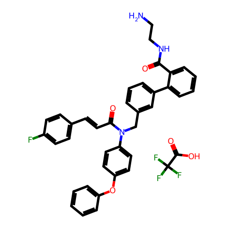 NCCNC(=O)c1ccccc1-c1cccc(CN(C(=O)C=Cc2ccc(F)cc2)c2ccc(Oc3ccccc3)cc2)c1.O=C(O)C(F)(F)F